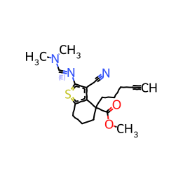 C#CCCCC1(C(=O)OC)CCCc2sc(/N=C/N(C)C)c(C#N)c21